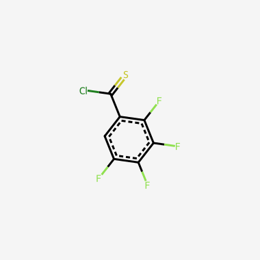 Fc1cc(C(=S)Cl)c(F)c(F)c1F